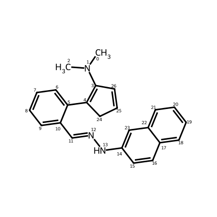 CN(C)C1=C(c2ccccc2/C=N/Nc2ccc3ccccc3c2)CC=C1